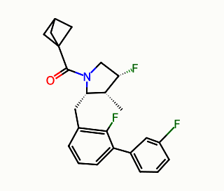 C[C@H]1[C@@H](F)CN(C(=O)C23CC(C2)C3)[C@H]1Cc1cccc(-c2cccc(F)c2)c1F